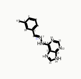 Ic1cccc(/C=N/Nc2ncnc3[nH]cnc23)c1